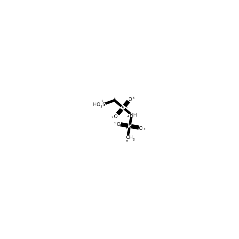 CS(=O)(=O)NS(=O)(=O)CS(=O)(=O)O